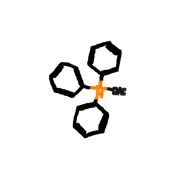 CC(=O)O[PH](c1ccccc1)(c1ccccc1)c1ccccc1